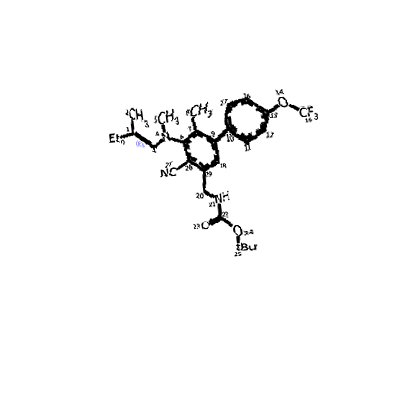 CC/C(C)=C/N(C)c1c(C)c(-c2ccc(OC(F)(F)F)cc2)cc(CNC(=O)OC(C)(C)C)c1C#N